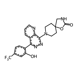 O=C1NCC2(CCN(c3nnc(-c4ccc(C(F)(F)F)cc4O)c4cccnc34)CC2)O1